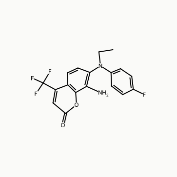 CCN(c1ccc(F)cc1)c1ccc2c(C(F)(F)F)cc(=O)oc2c1N